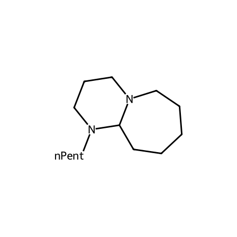 CCCCCN1CCCN2CCCCCC12